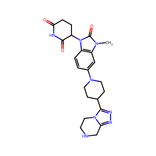 Cn1c(=O)n(C2CCC(=O)NC2=O)c2ccc(N3CCC(c4nnc5n4CCNC5)CC3)cc21